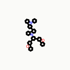 c1ccc(-n2c3ccccc3c3ccc(-c4cccc5c4c4ccccc4n5-c4cc(-c5ccc6oc7ccccc7c6c5)cc(-c5ccc6oc7ccccc7c6c5)c4)cc32)cc1